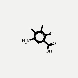 Cc1c(Cl)c(C(=O)O)cc(N)c1I